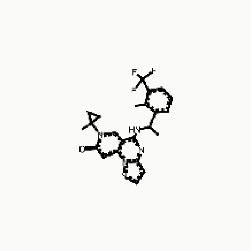 Cc1c(C(C)Nc2nc3ccnn3c3cc(=O)n(C4(C)CC4)cc23)cccc1C(F)(F)F